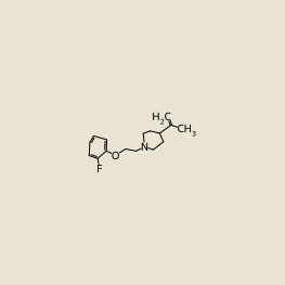 C=C(C)C1CCN(CCOc2ccccc2F)CC1